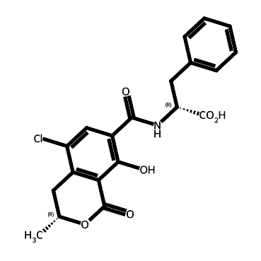 C[C@@H]1Cc2c(Cl)cc(C(=O)N[C@H](Cc3ccccc3)C(=O)O)c(O)c2C(=O)O1